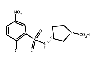 O=C(O)N1CC[C@@H](NS(=O)(=O)c2cc([N+](=O)[O-])ccc2Cl)C1